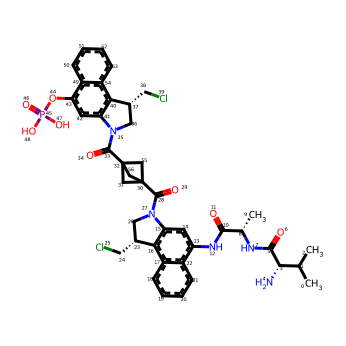 CC(C)[C@H](N)C(=O)N[C@@H](C)C(=O)Nc1cc2c(c3ccccc13)[C@H](CCl)CN2C(=O)C12CC(C(=O)N3C[C@@H](CCl)c4c3cc(OP(=O)(O)O)c3ccccc43)(C1)C2